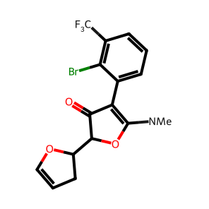 CNC1=C(c2cccc(C(F)(F)F)c2Br)C(=O)C(C2CC=CO2)O1